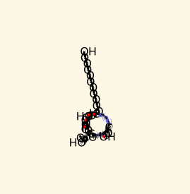 CO[C@@H]1C[C@H](C[C@@H](C)[C@@H]2CC(=O)[C@H](C)/C=C(\C)[C@@H](O)[C@@H](OC)C(=O)[C@H](C)C[C@H](C)/C=C/C=C/C=C(\C)C(OCCOCCOCCOCCOCCOCCOCCOCCOCCOCCO)C[C@@H]3CC[C@@H](C)[C@@](O)(O3)C(=O)C(=O)N3CCCC[C@H]3C(=O)O2)CC[C@H]1O